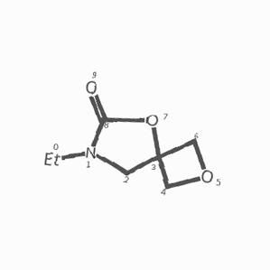 CCN1CC2(COC2)OC1=O